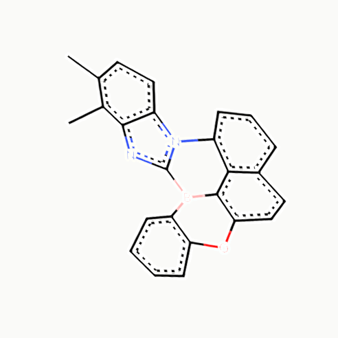 Cc1ccc2c(nc3n2-c2cccc4ccc5c(c24)B3c2ccccc2O5)c1C